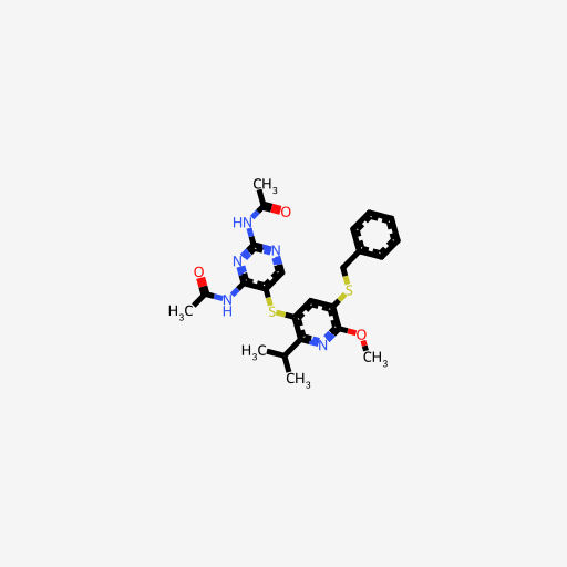 COc1nc(C(C)C)c(Sc2cnc(NC(C)=O)nc2NC(C)=O)cc1SCc1ccccc1